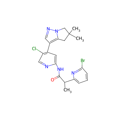 CC(C(=O)Nc1cc(-c2cnn3c2CC(C)(C)C3)c(Cl)cn1)c1cccc(Br)n1